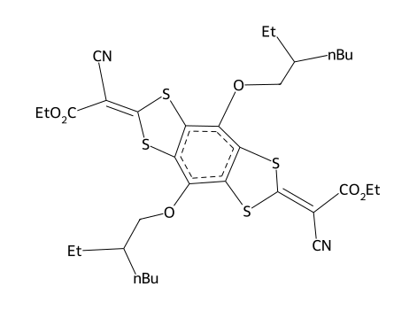 CCCCC(CC)COc1c2c(c(OCC(CC)CCCC)c3c1SC(=C(C#N)C(=O)OCC)S3)SC(=C(C#N)C(=O)OCC)S2